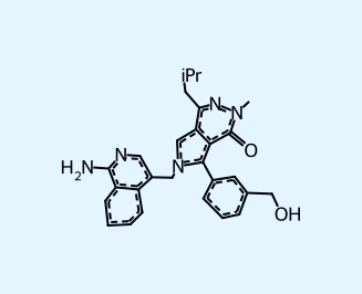 CC(C)Cc1nn(C)c(=O)c2c(-c3cccc(CO)c3)n(Cc3cnc(N)c4ccccc34)cc12